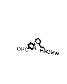 CONCCC1CCCN1c1ccc(C=O)cn1